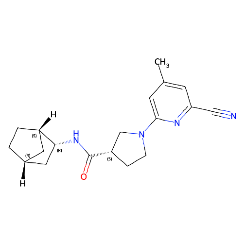 Cc1cc(C#N)nc(N2CC[C@H](C(=O)N[C@@H]3C[C@@H]4CC[C@H]3C4)C2)c1